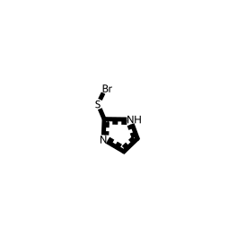 BrSc1ncc[nH]1